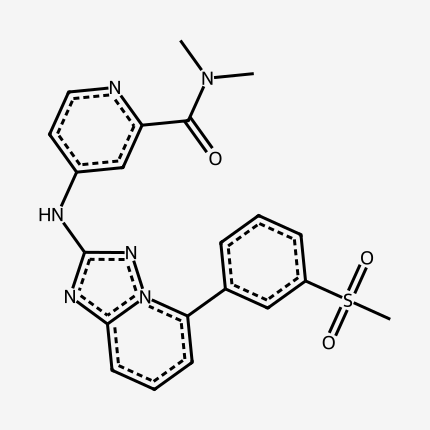 CN(C)C(=O)c1cc(Nc2nc3cccc(-c4cccc(S(C)(=O)=O)c4)n3n2)ccn1